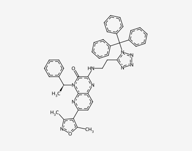 Cc1noc(C)c1-c1ccc2nc(NCCc3nnnn3C(c3ccccc3)(c3ccccc3)c3ccccc3)c(=O)n([C@@H](C)c3ccccc3)c2n1